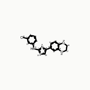 Clc1cccc(Nc2nc(-c3ccc4c(c3)OCCO4)cs2)c1